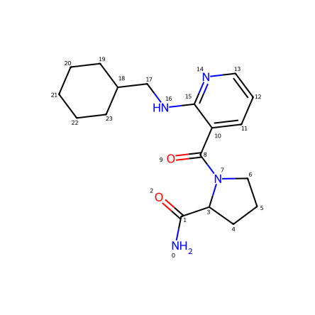 NC(=O)C1CCCN1C(=O)c1cccnc1NCC1CCCCC1